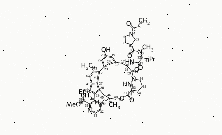 C=CC(=O)N1CC[C@H](C(=O)N(C)[C@H](C(=O)N[C@H]2Cc3cc(O)cc(c3)-c3cc4c(c(-c5cccnc5[C@H](C)OC)n(CC)c4cc3C)CC(C)(C)COC(=O)[C@@H]3CCCN(N3)C2=O)C(C)C)C1